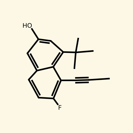 CC#Cc1c(F)ccc2cc(O)cc(C(C)(C)C)c12